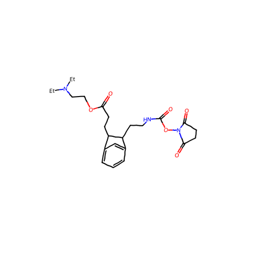 CCN(CC)CCOC(=O)CCC1c2cccc(c2)C1CCNC(=O)ON1C(=O)CCC1=O